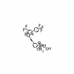 Cc1ccc(C#Cc2cnn3c(C(F)F)cc(-c4ccc(C(F)(F)F)cc4)nc23)cc1S(=O)(=O)NCCO